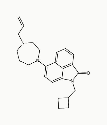 C=CCN1CCCN(c2ccc3c4c(cccc24)C(=O)N3CC2CCC2)CC1